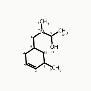 CC1C=CCC(CN(C)C(C)O)C1